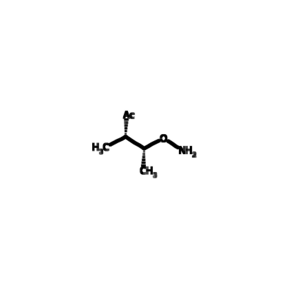 CC(=O)[C@@H](C)[C@@H](C)ON